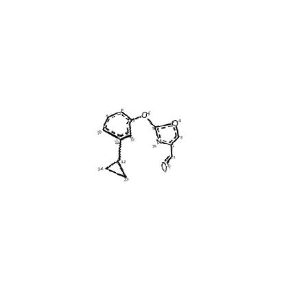 O=[C]c1coc(Oc2cccc(C3CC3)c2)n1